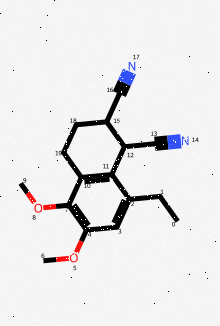 CCc1cc(OC)c(OC)c2c1C(C#N)C(C#N)CC2